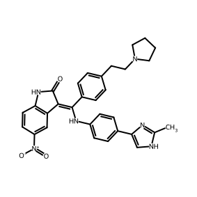 Cc1nc(-c2ccc(NC(=C3C(=O)Nc4ccc([N+](=O)[O-])cc43)c3ccc(CCN4CCCC4)cc3)cc2)c[nH]1